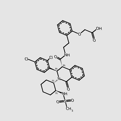 CS(=O)(=O)N[C@H]1CCCC[C@@H]1N1C(=O)c2ccccc2[C@@H](C(=O)NCCc2ccccc2OCC(=O)O)[C@@H]1c1ccc(Cl)cc1Cl